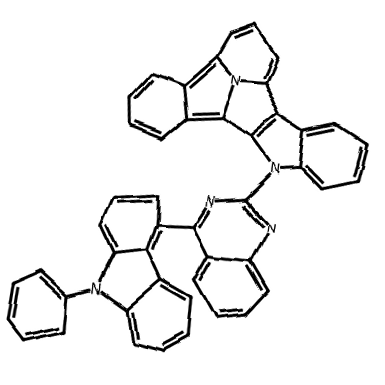 c1ccc(-n2c3ccccc3c3c(-c4nc(-n5c6ccccc6c6c5c5c7ccccc7c7cccc6n75)nc5ccccc45)cccc32)cc1